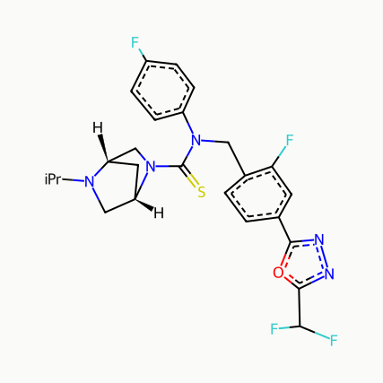 CC(C)N1C[C@@H]2C[C@H]1CN2C(=S)N(Cc1ccc(-c2nnc(C(F)F)o2)cc1F)c1ccc(F)cc1